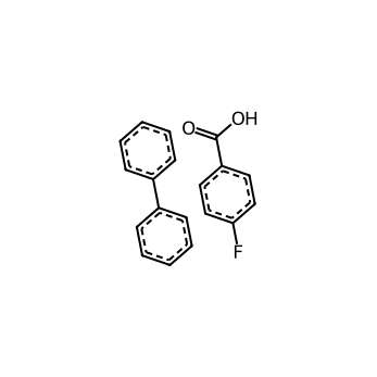 O=C(O)c1ccc(F)cc1.c1ccc(-c2ccccc2)cc1